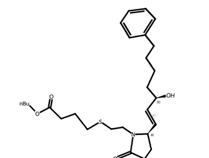 CCCCOC(=O)CCCSCCN1C(=O)CC[C@@H]1/C=C/[C@H](O)CCCCc1ccccc1